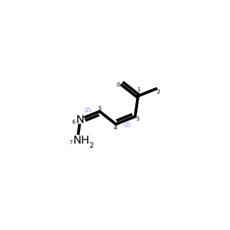 C=C(C)/C=C\C=N/N